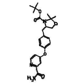 CC(C)(C)OC(=O)N1C(Cc2ccc(Oc3ccnc(C(N)=O)c3)cc2)COC1(C)C